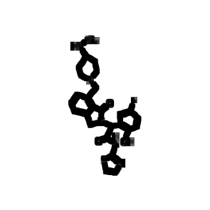 CC(C)(C)NC1CCN(Cc2cccc3c2C(=O)N(C(C(=O)Nc2nccs2)c2cc(F)ccc2O)C3)CC1